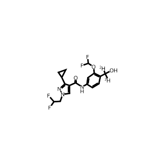 [2H]C([2H])(O)c1ccc(NC(=O)c2cn(CC(F)F)nc2C2CC2)cc1OC(F)F